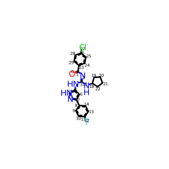 O=C(/N=C(\Nc1cc(-c2ccc(F)cc2)n[nH]1)NC1CCCC1)c1ccc(Cl)cc1